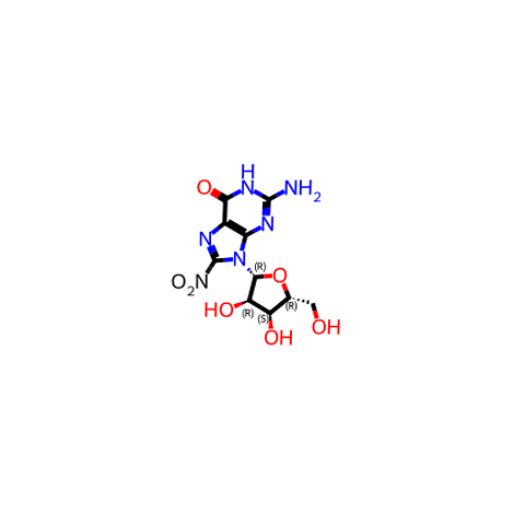 Nc1nc2c(nc([N+](=O)[O-])n2[C@@H]2O[C@H](CO)[C@@H](O)[C@H]2O)c(=O)[nH]1